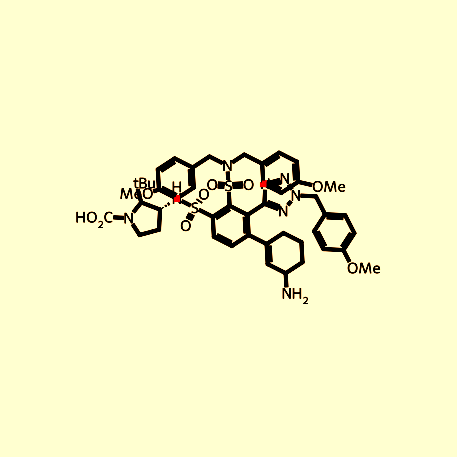 COc1ccc(CN(Cc2ccc(OC)cc2)S(=O)(=O)c2c(S(=O)(=O)N[C@@H]3CCN(C(=O)O)C3C(C)(C)C)ccc(C3=CC(N)CCC3)c2-c2nnn(Cc3ccc(OC)cc3)n2)cc1